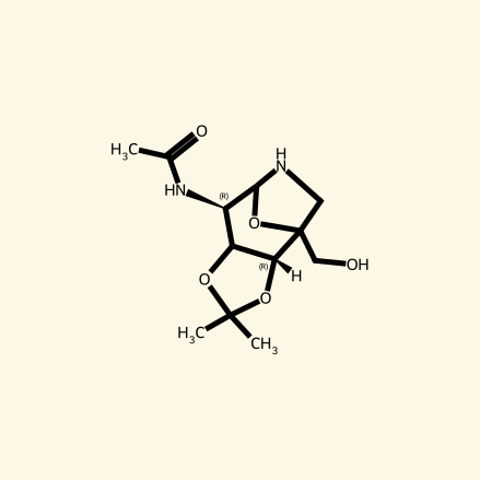 CC(=O)N[C@H]1C2NCC(CO)(O2)[C@@H]2OC(C)(C)OC12